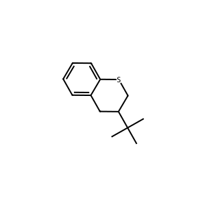 CC(C)(C)C1CSc2ccccc2C1